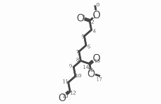 COC(=O)CCCCC(CCCC=O)C(=O)OC